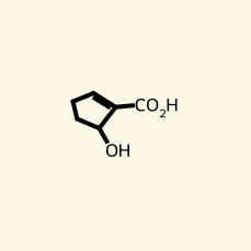 O=C(O)C1=CCCC1O